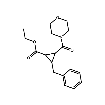 CCOC(=O)C1C(Cc2ccccc2)C1C(=O)N1CCOCC1